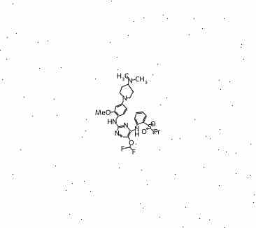 COc1cc(N2CCC(N(C)C)CC2)ccc1Nc1ncc(OC(F)F)c(Nc2ccccc2S(=O)(=O)C(C)C)n1